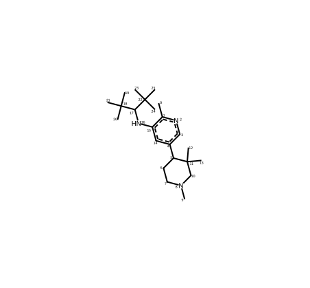 Cc1ncc(C2CCN(C)CC2(C)C)cc1NC(C(C)(C)C)C(C)(C)C